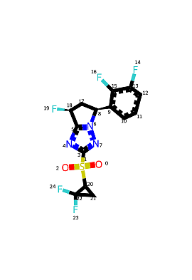 O=S(=O)(c1nc2n(n1)[C@H](c1cccc(F)c1F)C[C@@H]2F)C1CC1(F)F